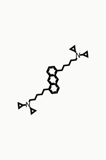 c1cc(CCCCCN(C2CC2)C2CC2)c2cc3cccc(CCCCCN(C4CC4)C4CC4)c3cc2c1